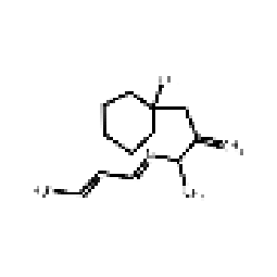 C=C(CC1(C)CCCCC1)C(C)/N=C/C=C/C